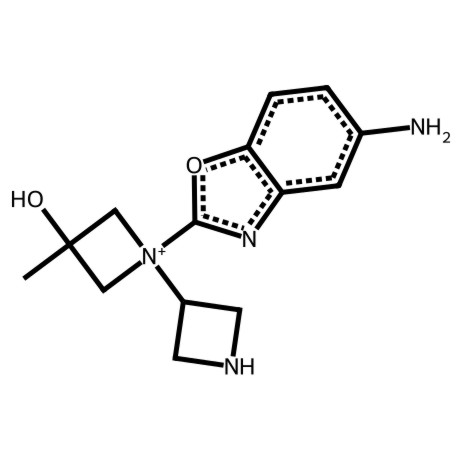 CC1(O)C[N+](c2nc3cc(N)ccc3o2)(C2CNC2)C1